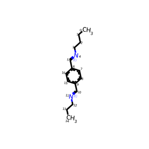 CCCC/N=C/c1ccc(/C=N/CCC)cc1